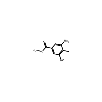 Cc1c([N+](=O)[O-])cc(C(=O)ON)cc1[N+](=O)[O-]